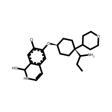 CCC(N)[C@]1(C2CCOCC2)CC[C@H](Oc2cc3c(cc2Cl)C(O)NC=C3)CC1